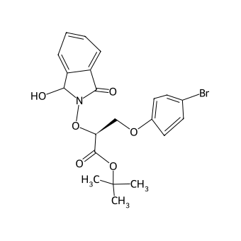 CC(C)(C)OC(=O)[C@H](COc1ccc(Br)cc1)ON1C(=O)c2ccccc2C1O